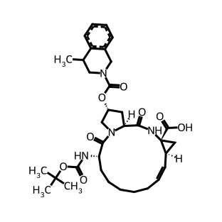 CC1CN(C(=O)O[C@@H]2C[C@H]3C(=O)N[C@]4(C(=O)O)C[C@H]4C=CCCCCC[C@H](NC(=O)OC(C)(C)C)C(=O)N3C2)Cc2ccccc21